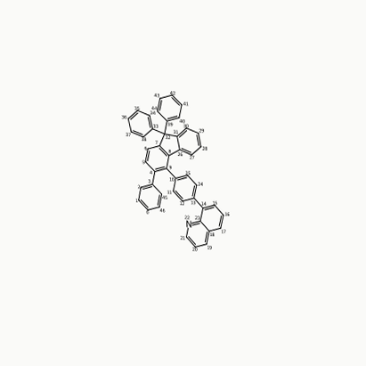 c1ccc(-c2ccc3c(c2-c2ccc(-c4cccc5cccnc45)cc2)-c2ccccc2C3(c2ccccc2)c2ccccc2)cc1